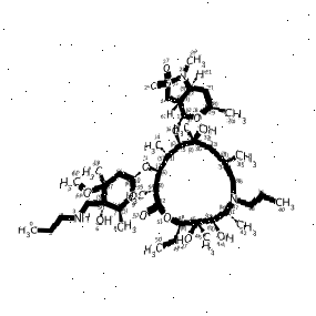 CCCNC[C@]1(O)[C@H](C)O[C@@H](O[C@H]2[C@H](C)[C@@H](O[C@@H]3O[C@H](C)C[C@H]4[C@H]3CS(=O)(=O)N4C)[C@](C)(O)C[C@@H](C)CN(CCC)[C@H](C)[C@@H](O)[C@](C)(O)[C@@H](CC)OC(=O)[C@@H]2C)C[C@@]1(C)OC